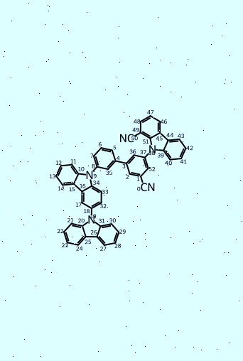 N#Cc1cc(-c2cccc(-n3c4ccccc4c4cc(-n5c6ccccc6c6ccccc65)ccc43)c2)cc(-n2c3ccccc3c3cccc(C#N)c32)c1